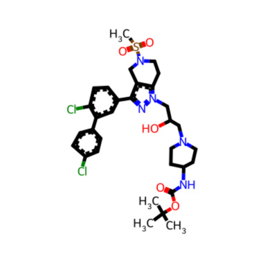 CC(C)(C)OC(=O)NC1CCN(CC(O)Cn2nc(-c3ccc(Cl)c(-c4ccc(Cl)cc4)c3)c3c2CCN(S(C)(=O)=O)C3)CC1